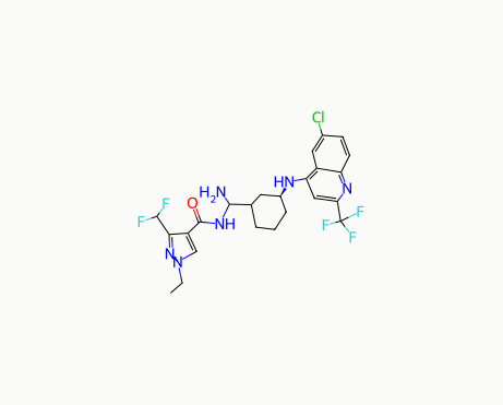 CCn1cc(C(=O)NC(N)C2CCC[C@H](Nc3cc(C(F)(F)F)nc4ccc(Cl)cc34)C2)c(C(F)F)n1